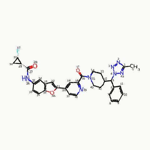 Cc1nnn(C(c2ccccc2)C2CCN(C(=O)c3cc(-c4cc5cc(NC(=O)[C@@H]6C[C@@H]6F)ccc5o4)ccn3)CC2)n1